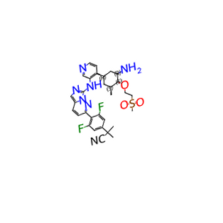 C[C@H]1C[C@@H](c2ccncc2Nc2ncc3ccc(-c4c(F)cc(C(C)(C)C#N)cc4F)nn23)C[C@@H](N)[C@H]1OCCS(C)(=O)=O